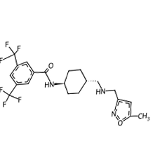 Cc1cc(CNC[C@H]2CC[C@H](NC(=O)c3cc(C(F)(F)F)cc(C(F)(F)F)c3)CC2)no1